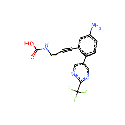 Nc1ccc(-c2cnc(C(F)(F)F)nc2)c(C#CCNC(=O)O)c1